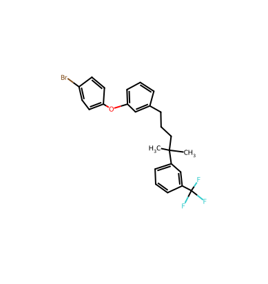 CC(C)(CCCc1cccc(Oc2ccc(Br)cc2)c1)c1cccc(C(F)(F)F)c1